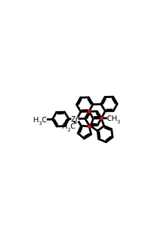 [CH2]=[Zr]([C]1=CC=CC1)([c]1ccc(C)cc1)([c]1ccc(C)cc1)[c]1cccc2c1c1c(c3ccccc32)-c2ccccc2C1